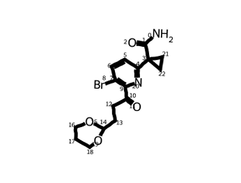 NC(=O)C1(c2ccc(Br)c(C(=O)CCC3OCCCO3)n2)CC1